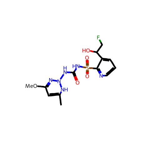 COC1=NN(NC(=O)NS(=O)(=O)c2ncccc2C(O)CF)NC(C)=C1